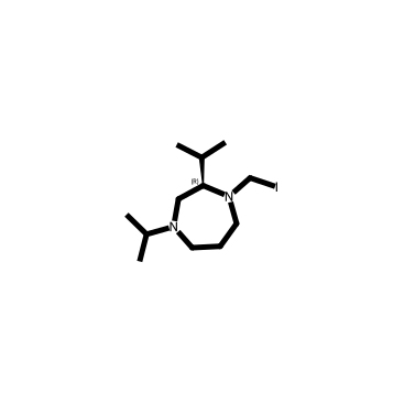 CC(C)[C@@H]1CN(C(C)C)CCCN1CI